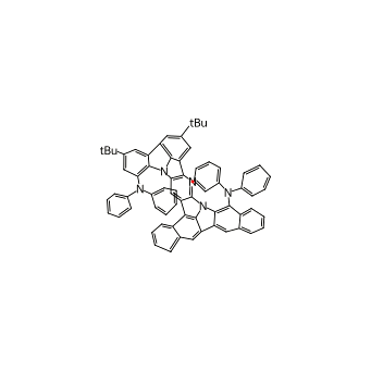 CC(C)(C)c1cc(N(c2ccccc2)c2ccccc2)c2c(c1)c1cc(C(C)(C)C)cc3c4nc5c(cc4n2c13)c1c2ccccc2cc2c3cc4ccccc4c(N(c4ccccc4)c4ccccc4)c3n5c21